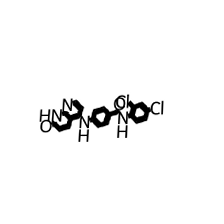 O=C(Nc1ccc(Cl)cc1Cl)c1ccc(Nc2ccnc3[nH]c(=O)ccc23)cc1